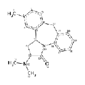 Cc1ccc2c(c1)C1CC(N(C)C)C(=O)N1c1ccccc1C2